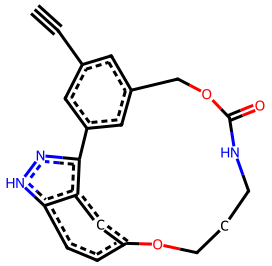 C#Cc1cc2cc(c1)-c1n[nH]c3ccc(cc13)OCCCNC(=O)OC2